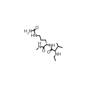 CCN[C@@H](C(=O)N[C@H](CCCNC(N)=O)C(=O)NC)C(C)C